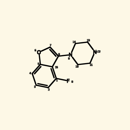 Fc1cccc2occ(N3CC[N]CC3)c12